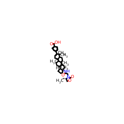 C=C[C@H]1COC(=O)N1CC(=O)N[C@]12CCCC1[C@H]1CCC3[C@@]4(C)CC=C(c5ccc(C(=O)O)cc5)C(C)(C)C4CC[C@@]3(C)[C@]1(C)CC2